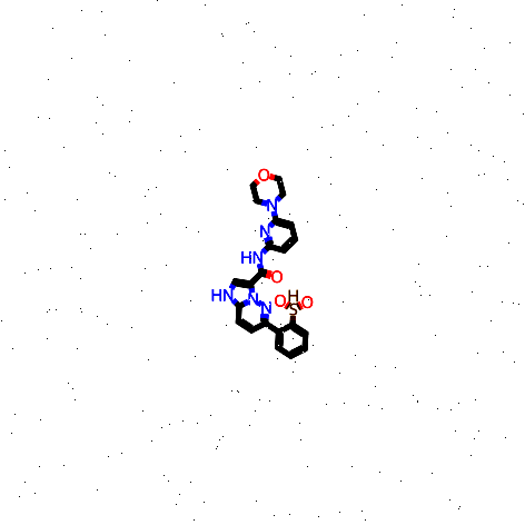 O=C(Nc1cccc(N2CCOCC2)n1)C1=CNC2C=CC(c3ccccc3[SH](=O)=O)=NN12